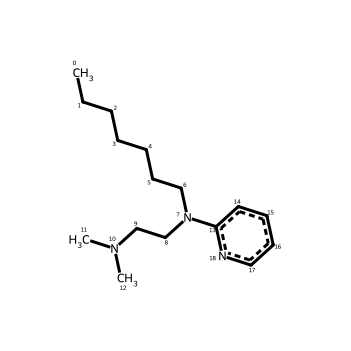 CCCCCCCN(CCN(C)C)c1ccccn1